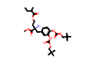 CCC(C)C(=O)OCC[C@@](N)(Cc1ccc(OC(=O)OCC(C)(C)C)c(OC(=O)OCC(C)(C)C)c1)C(=O)OC